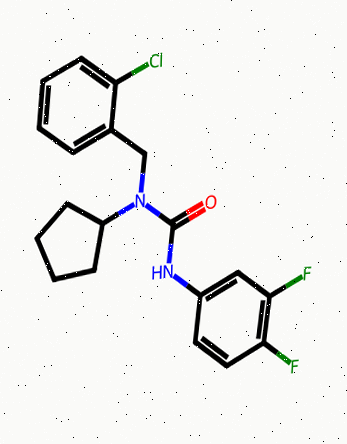 O=C(Nc1ccc(F)c(F)c1)N(Cc1ccccc1Cl)C1CCCC1